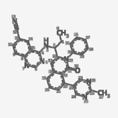 CCC(Nc1ncnc2ccc(C#N)cc12)c1cc2cccc(-c3cnc(C)nc3)c2c(=O)n1-c1ccccc1